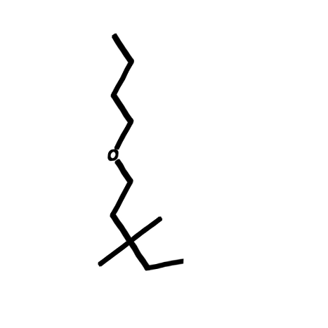 CCCCOCCC(C)(C)CC